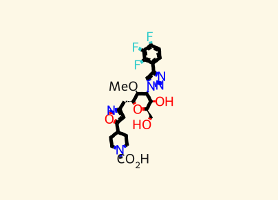 CO[C@@H]1[C@@H](n2cc(-c3ccc(F)c(F)c3F)nn2)[C@@H](O)[C@@H](CO)O[C@@H]1Cc1cc(C2CCN(C(=O)O)CC2)on1